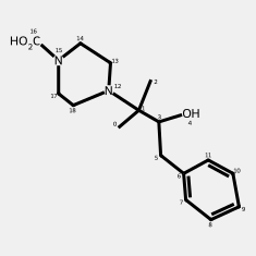 CC(C)(C(O)Cc1ccccc1)N1CCN(C(=O)O)CC1